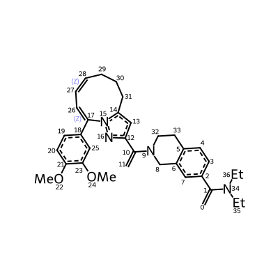 C=C(c1ccc2c(c1)CN(C(=C)c1cc3n(n1)/C(c1ccc(OC)c(OC)c1)=C\C=C/CCC3)CC2)N(CC)CC